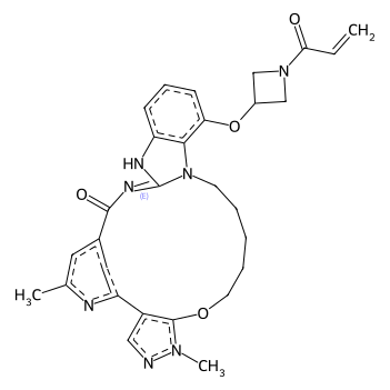 C=CC(=O)N1CC(Oc2cccc3c2N2CCCCCOc4c(cnn4C)-c4cc(cc(C)n4)C(=O)/N=C/2N3)C1